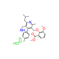 COC(=O)c1cccc(OC)c1OCc1c(C)nc(CC(C)C)c(CN)c1-c1ccc(C)cc1.Cl.Cl